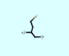 CC(CC#N)CCBr